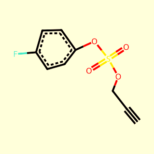 C#CCOS(=O)(=O)Oc1ccc(F)cc1